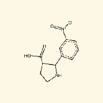 O=C(O)C1CCNC1c1cccc([N+](=O)[O-])c1